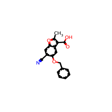 Cc1oc2cc(C#N)c(OCc3ccccc3)cc2c1C(=O)O